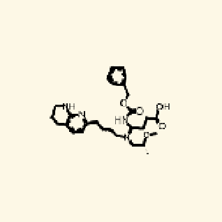 CO[C@H](C)CN(CCCCc1ccc2c(n1)NCCC2)C(CCC(=O)O)NC(=O)OCc1ccccc1